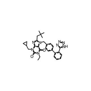 CCn1c(=O)c2c(nc(CC(C)(C)C)n2Cc2ccc(-c3ccccc3-c3nnn[nH]3)cc2)n(CC2CC2)c1=O